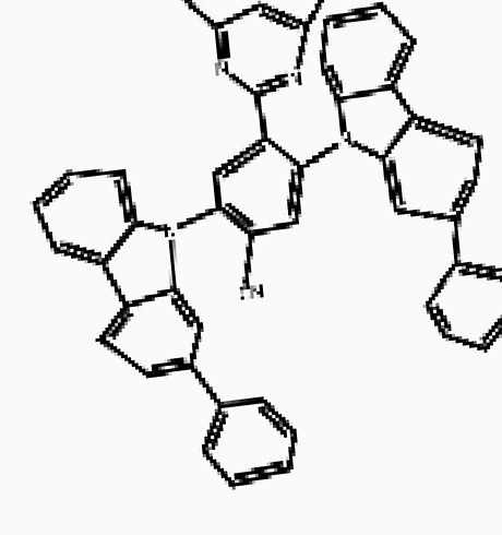 Cc1cc(C)nc(-c2cc(-n3c4ccccc4c4ccc(-c5ccccc5)cc43)c(C#N)cc2-n2c3ccccc3c3ccc(-c4ccccc4)cc32)n1